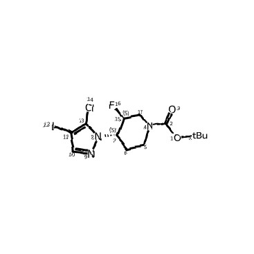 CC(C)(C)OC(=O)N1CC[C@H](n2ncc(I)c2Cl)[C@@H](F)C1